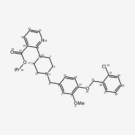 COc1cc(CN2CCN(c3ncccc3C(=O)OC(C)C)CC2)ccc1OCc1ccccc1Cl